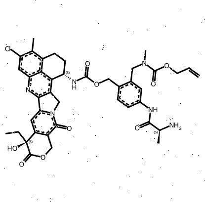 C=CCOC(=O)N(C)Cc1cc(NC(=O)[C@H](C)N)ccc1COC(=O)N[C@H]1CCc2c(C)c(Cl)cc3nc4c(c1c23)Cn1c-4cc2c(c1=O)COC(=O)[C@]2(O)CC